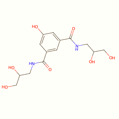 O=C(NCC(O)CO)c1cc(O)cc(C(=O)NCC(O)CO)c1